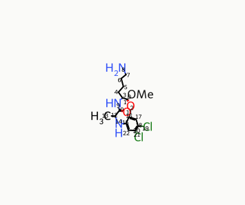 COC(=O)C(CCCCN)NC(=O)C(C)Nc1ccc(Cl)c(Cl)c1